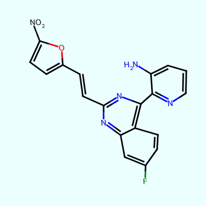 Nc1cccnc1-c1nc(C=Cc2ccc([N+](=O)[O-])o2)nc2cc(F)ccc12